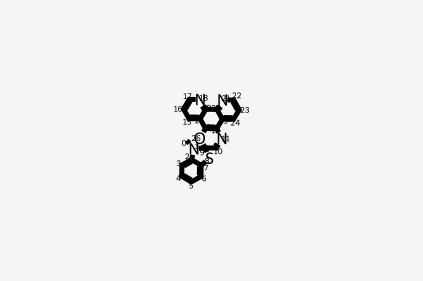 CN1c2ccccc2SC12C=Nc1c(c3cccnc3c3ncccc13)O2